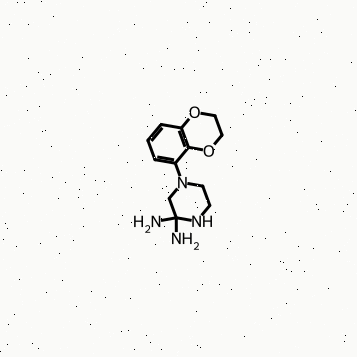 NC1(N)CN(c2cccc3c2OCCO3)CCN1